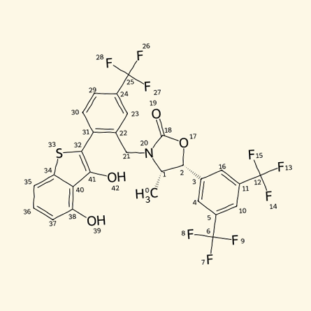 C[C@H]1[C@@H](c2cc(C(F)(F)F)cc(C(F)(F)F)c2)OC(=O)N1Cc1cc(C(F)(F)F)ccc1-c1sc2cccc(O)c2c1O